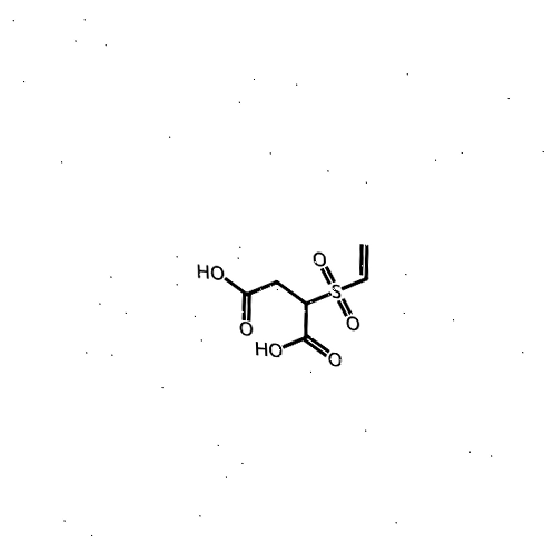 C=CS(=O)(=O)C(CC(=O)O)C(=O)O